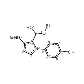 CCOC(O)c1c(NC(C)=O)ccn1-c1ccc(Cl)cc1